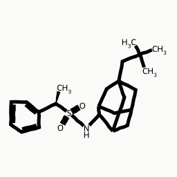 C[C@H](c1ccccc1)S(=O)(=O)NC1C2CC3CC1CC(CC(C)(C)C)(C3)C2